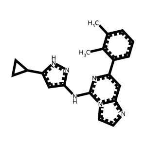 Cc1cccc(-c2cc3nccn3c(Nc3cc(C4CC4)[nH]n3)n2)c1C